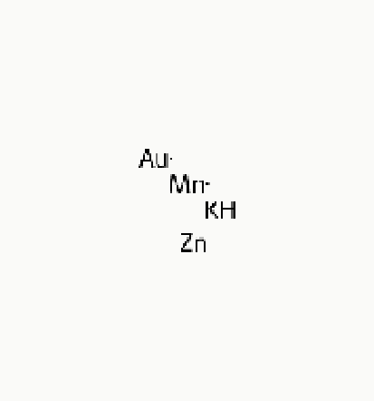 [Au].[KH].[Mn].[Zn]